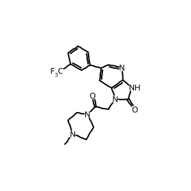 CN1CCN(C(=O)Cn2c(=O)[nH]c3ncc(-c4cccc(C(F)(F)F)c4)cc32)CC1